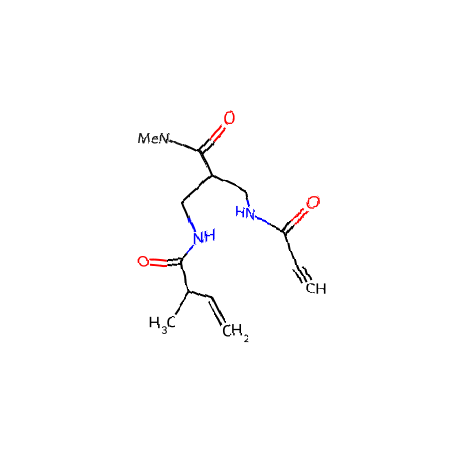 C#CC(=O)NCC(CNC(=O)C(C)C=C)C(=O)NC